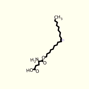 CCCCCCCC/C=C\CCCCCCCCOC(=O)C(N)CCC(=O)O